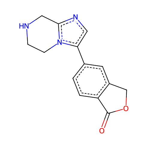 O=C1OCc2cc(-c3cnc4n3CCNC4)ccc21